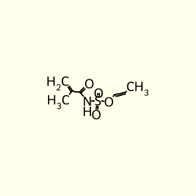 C=C(C)C(=O)NS(=O)(=O)OC=CC